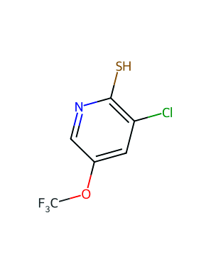 FC(F)(F)Oc1cnc(S)c(Cl)c1